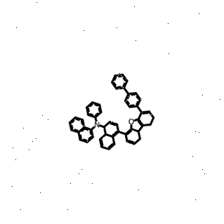 C1=CC2=C(C3=C4OC5=C(CCC=C5c5ccc(-c6ccccc6)cc5)C4CC=C3)C=CC(N(c3ccccc3)c3cccc4ccccc34)C2C=C1